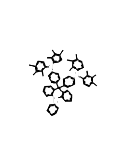 Cc1ccc(N(c2ccc(C3(c4ccc(N(c5ccc(C)c(C)c5C)c5ccc(C)c(C)c5C)cc4)c4ccccc4N(c4ccccc4)c4ccccc43)cc2)c2ccc(C)c(C)c2C)c(C)c1C